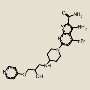 CCCc1cc(N2CCC(NCC(O)COc3ccncc3)CC2)nc2sc(C(N)=O)c(N)c12